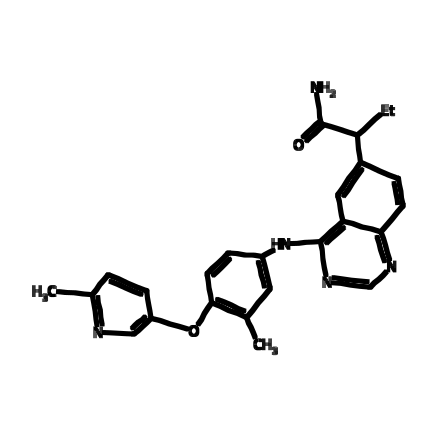 CCC(C(N)=O)c1ccc2ncnc(Nc3ccc(Oc4ccc(C)nc4)c(C)c3)c2c1